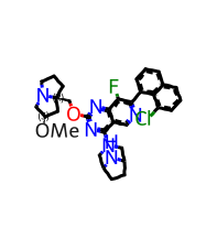 CO[C@@H]1CN2CCC[C@]2(COc2nc(N3CC4CCC(C3)N4)c3cnc(-c4cccc5cccc(Cl)c45)c(F)c3n2)C1